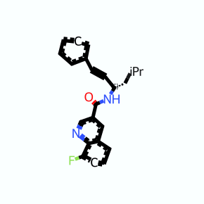 CC(C)C[C@@H](C#Cc1ccccc1)NC(=O)c1cnc2c(F)cccc2c1